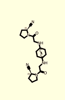 N#C[C@@H]1CCCN1C(=O)CNC12CCC(NCC(=O)N3CCC[C@H]3C#N)(CC1)CC2